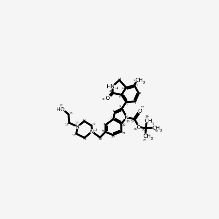 Cc1ccc(-c2cc3cc(CN4CCN(CCO)CC4)ccc3n2C(=O)OC(C)(C)C)c2c1CNC2=O